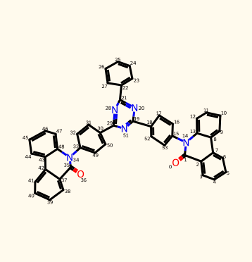 O=c1c2ccccc2c2ccccc2n1-c1ccc(-c2nc(-c3ccccc3)nc(-c3ccc(-n4c(=O)c5ccccc5c5ccccc54)cc3)n2)cc1